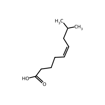 CC(C)C/C=C\CCCC(=O)O